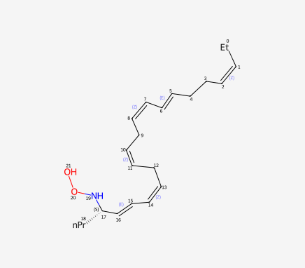 CC/C=C\CC/C=C/C=C\C/C=C\C/C=C\C=C\[C@H](CCC)NOO